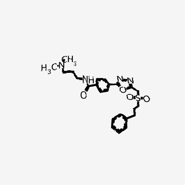 CN(C)CCCNC(=O)c1ccc(-c2nnc(CS(=O)(=O)CCCc3ccccc3)o2)cc1